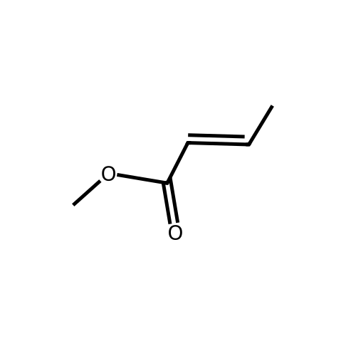 CC=CC(=O)OC